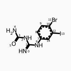 N=C(NC(N)=O)Nc1ccc(Br)c(I)c1